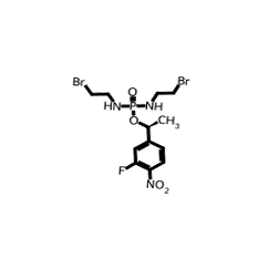 C[C@H](OP(=O)(NCCBr)NCCBr)c1ccc([N+](=O)[O-])c(F)c1